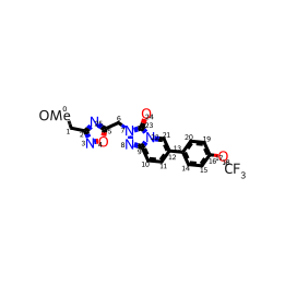 COCc1noc(Cn2nc3ccc(-c4ccc(OC(F)(F)F)cc4)cn3c2=O)n1